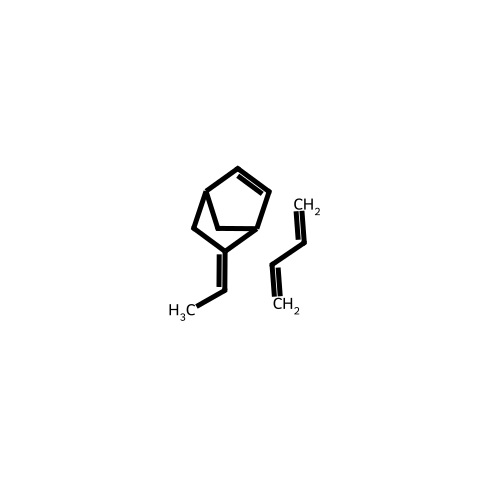 C=CC=C.CC=C1CC2C=CC1C2